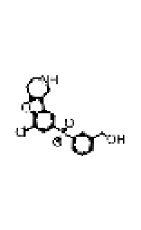 O=S(=O)(c1cccc(CO)c1)c1cc(Cl)c2oc3c(c2c1)CNCC3